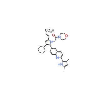 Cc1cc(C)c(-c2ccc3cc(-c4c(C5CCCCC5)cc(C=CC(=O)O)n4CC(=O)N4CCOCC4)ccc3n2)[nH]1